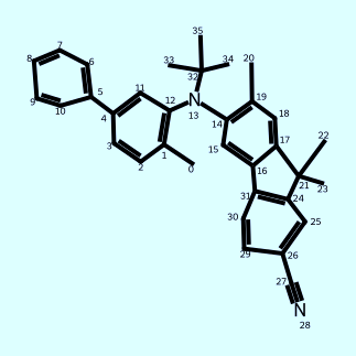 Cc1ccc(-c2ccccc2)cc1N(c1cc2c(cc1C)C(C)(C)c1cc(C#N)ccc1-2)C(C)(C)C